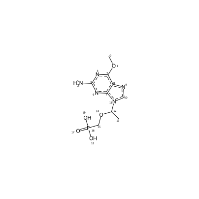 COc1nc(N)nc2c1ncn2C(C)OCP(=O)(O)O